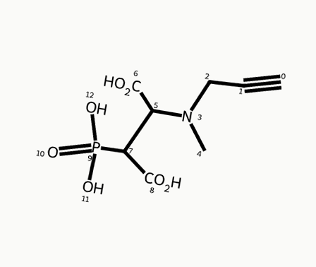 C#CCN(C)C(C(=O)O)C(C(=O)O)P(=O)(O)O